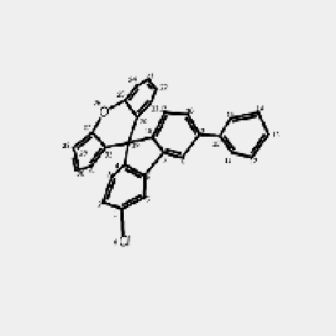 Clc1ccc2c(c1)-c1cc(-c3ccccc3)ccc1C21c2ccccc2Oc2ccccc21